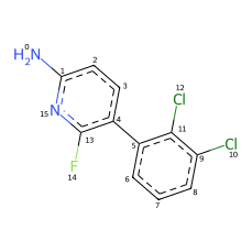 Nc1ccc(-c2cccc(Cl)c2Cl)c(F)n1